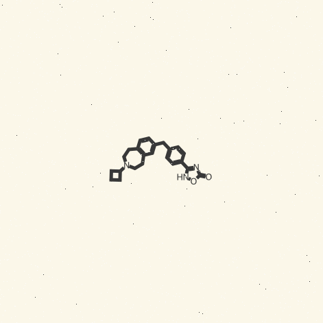 O=c1nc(-c2ccc(Cc3ccc4c(c3)CCN(C3CCC3)CC4)cc2)[nH]o1